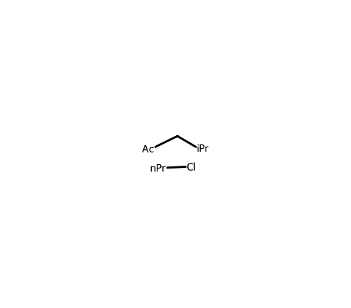 CC(=O)CC(C)C.CCCCl